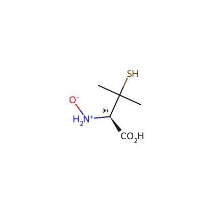 CC(C)(S)[C@H]([NH2+][O-])C(=O)O